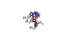 CCc1cccc(N2N=NN(C(F)(F)F)C2C=O)c1COc1ccc(C(C)=NOC)cc1C